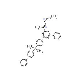 C=C/C=C\C=C(/C)c1cc(-c2ccccc2)nc(-c2ccc(C(C)(C)c3ccc(C4=CCCC=C4)cc3)cc2)n1